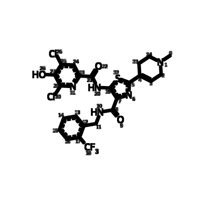 CN1CC=C(c2nc(C(=O)NCc3ccccc3C(F)(F)F)c(NC(=O)c3cc(Cl)c(O)c(Cl)n3)s2)CC1